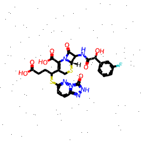 O=C(O)CCC(Sc1ccc2n[nH]c(=O)n2n1)C1=C(C(=O)O)N2C(=O)C(NC(=O)C(O)c3cccc(F)c3)[C@@H]2SC1